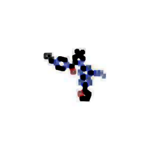 CC1(C)C[C@@H](C(=O)N2CCN(CC(F)(F)F)CC2)N(c2nc(N)n3nc(-c4ccco4)nc3n2)C1